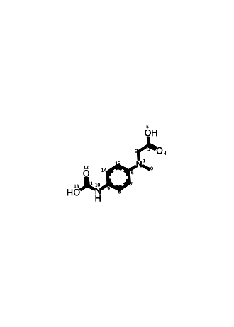 CN(CC(=O)O)c1ccc(NC(=O)O)cc1